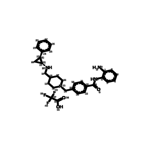 Nc1ccccc1NC(=O)c1ccc(CN2CCC(CN[C@@H]3C[C@H]3c3ccccc3)CC2)cc1.O=C(O)C(F)(F)F